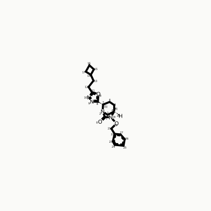 O=C1N2C[C@@H](CC[C@H]2c2nnc(CCC3CCC3)o2)N1OCc1ccccc1